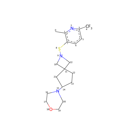 Cc1nc(C(F)(F)F)ccc1SN1CC2(CCC(N3CCOCC3)C2)C1